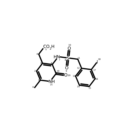 Cc1cc(CC(=O)O)c(NS(=O)(=O)Cc2ccccc2I)c(=O)[nH]1